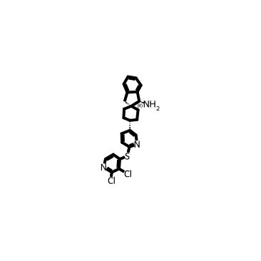 N[C@H]1c2ccccc2C[C@]12CC[C@@H](c1ccc(Sc3ccnc(Cl)c3Cl)nc1)CC2